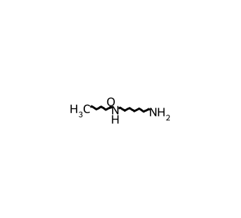 CCCCCC(=O)NCCCCCCCN